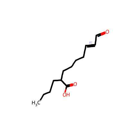 CCCCC(CCCC/C=C/C=O)C(=O)O